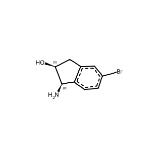 N[C@@H]1c2ccc(Br)cc2C[C@@H]1O